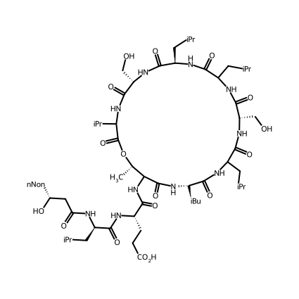 CCCCCCCCC[C@@H](O)CC(=O)N[C@H](CC(C)C)C(=O)N[C@@H](CCC(=O)O)C(=O)NC1C(=O)N[C@@H]([C@H](C)CC)C(=O)NC(CC(C)C)C(=O)N[C@@H](CO)C(=O)NC(CC(C)C)C(=O)N[C@H](CC(C)C)C(=O)N[C@@H](CO)C(=O)NC(C(C)C)C(=O)O[C@H]1C